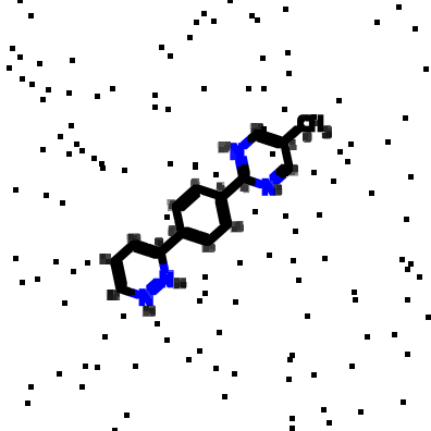 Cc1cnc(-c2ccc(-c3cccnn3)cc2)nc1